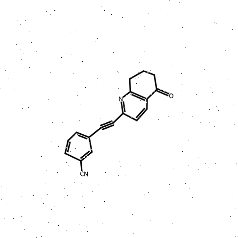 N#Cc1cccc(C#Cc2ccc3c(n2)CCCC3=O)c1